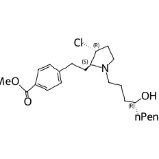 CCCCC[C@@H](O)CCCN1CC[C@@H](Cl)[C@@H]1CCc1ccc(C(=O)OC)cc1